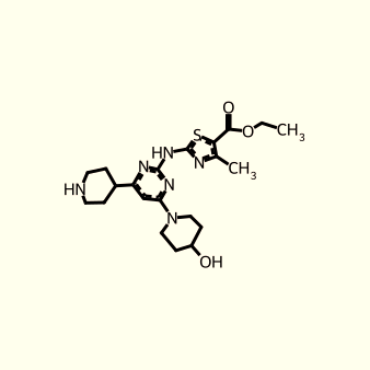 CCOC(=O)c1sc(Nc2nc(C3CCNCC3)cc(N3CCC(O)CC3)n2)nc1C